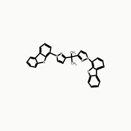 CC(C)(c1ccn(-c2cccc3c2sc2ccccc23)n1)c1ccn(-c2cccc3c2sc2ccccc23)n1